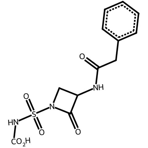 O=C(O)NS(=O)(=O)N1CC(NC(=O)Cc2ccccc2)C1=O